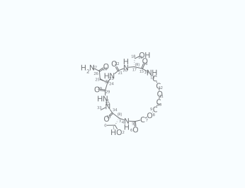 CC(O)[C@H]1NC(=O)COCCOCCNC(=O)[C@@H](CO)NC(=O)N[C@H](CC(N)=O)C(=O)NN(C)C1=O